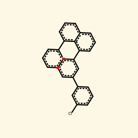 Clc1cccc(-c2cccc(-c3cccc4cccc(-c5ccccn5)c34)c2)c1